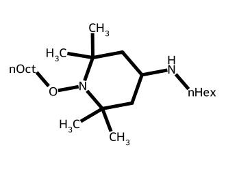 CCCCCCCCON1C(C)(C)CC(NCCCCCC)CC1(C)C